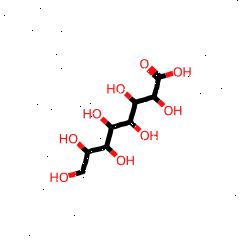 O=C(O)C(O)C(O)C(O)C(O)C(O)C(O)CO